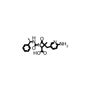 C[C@@H](NC(=O)N1C(=O)C(C)(Cc2ccc(N)nc2)C1C(=O)O)c1ccccc1